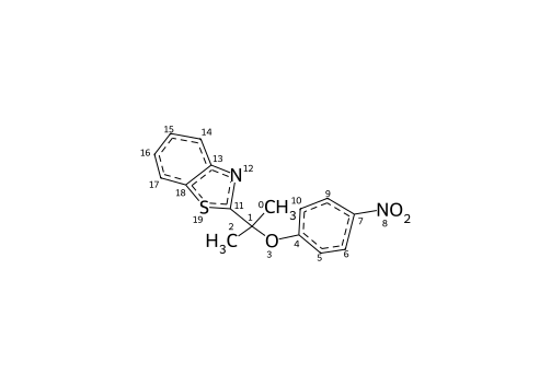 CC(C)(Oc1ccc([N+](=O)[O-])cc1)c1nc2ccccc2s1